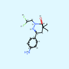 CC1(C)CC(c2ccc(N)cc2)=NN(CC(F)F)C1=O